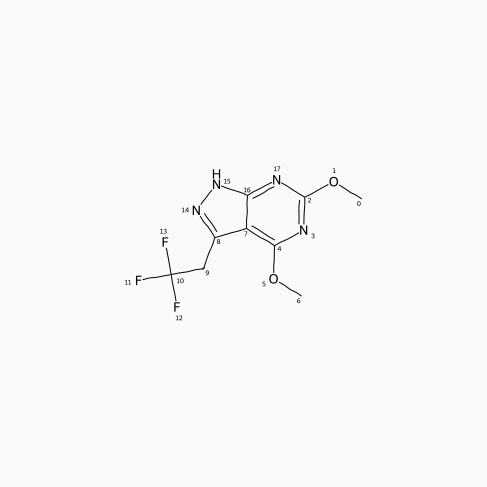 COc1nc(OC)c2c(CC(F)(F)F)n[nH]c2n1